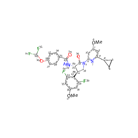 COc1cc(C2CC2)nc(N2C[C@@H](c3c(F)cc(OC)cc3F)[C@H](NC(=O)c3ccc(OC(F)F)cc3)C2=O)c1